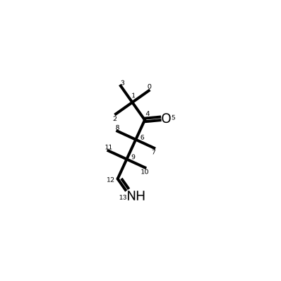 CC(C)(C)C(=O)C(C)(C)C(C)(C)C=N